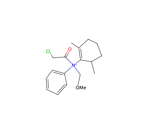 COC[N+](C(=O)CCl)(C1=C(C)CCCC1C)c1ccccc1